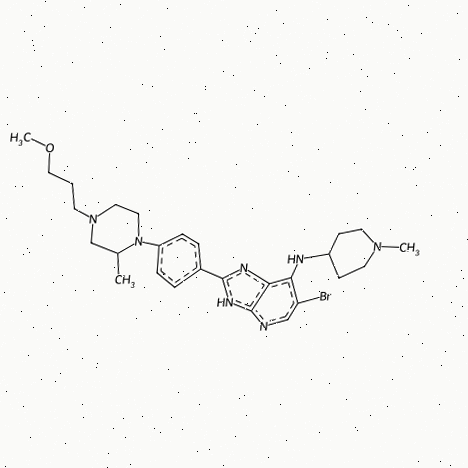 COCCCN1CCN(c2ccc(-c3nc4c(NC5CCN(C)CC5)c(Br)cnc4[nH]3)cc2)C(C)C1